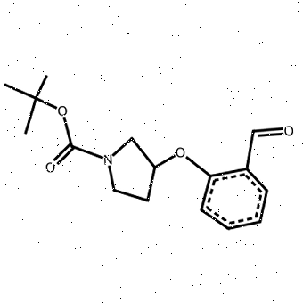 CC(C)(C)OC(=O)N1CCC(Oc2ccccc2C=O)C1